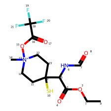 CCOC(=O)C(NC=O)C1(S)CC[N+](C)(OC(=O)C(F)(F)F)CC1